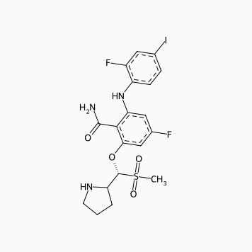 CS(=O)(=O)[C@@H](Oc1cc(F)cc(Nc2ccc(I)cc2F)c1C(N)=O)C1CCCN1